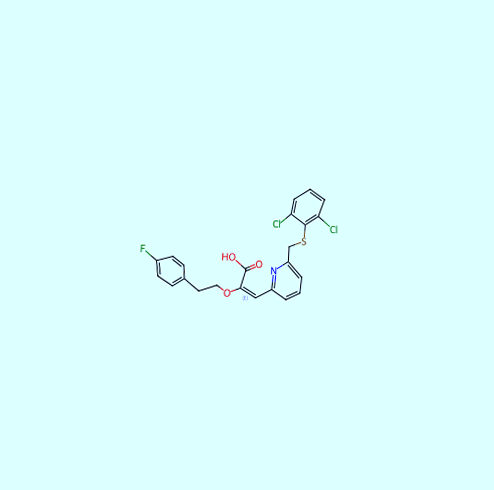 O=C(O)/C(=C\c1cccc(CSc2c(Cl)cccc2Cl)n1)OCCc1ccc(F)cc1